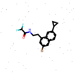 O=C(NCCc1cc(Br)cc2ccc(C3CC3)cc12)C(F)F